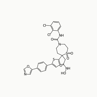 O=C(CC1(c2ccc(-c3ccc(-c4cnco4)cc3)s2)CCN(C(=O)Nc2cccc(Cl)c2Cl)CCS1(=O)=O)NO